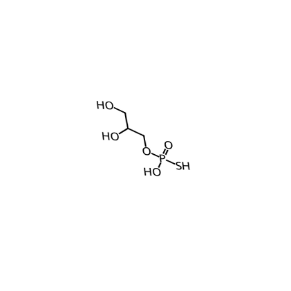 O=P(O)(S)OCC(O)CO